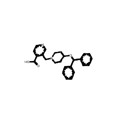 O=C(O)c1ccncc1CN1CCC(OC(c2ccccc2)c2ccccc2)CC1